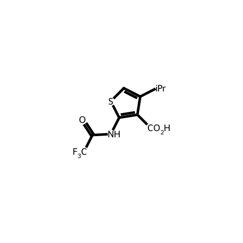 CC(C)c1csc(NC(=O)C(F)(F)F)c1C(=O)O